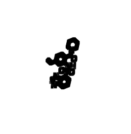 C=Cc1ccc(C(=O)N2CCCCC2)c(NS(=O)(=O)c2cccc3nsnc23)c1